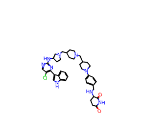 O=C1CCC(NCc2ccc(N3CCC(CN4CCC(CN5CCC(Nc6ncc(Cl)c(-c7c[nH]c8ccccc78)n6)C5)CC4)CC3)cc2)C(=O)N1